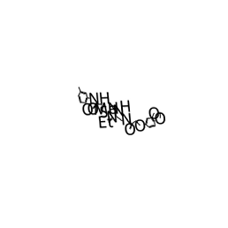 CCn1c(CNC(=O)COc2ccc3c(c2)OCO3)nnc1SCC(=O)Nc1cc(C)ccc1OC